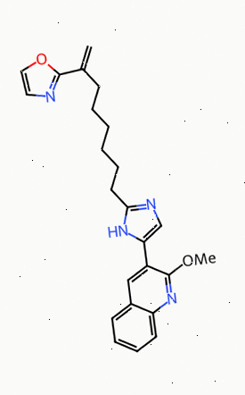 C=C(CCCCCCc1ncc(-c2cc3ccccc3nc2OC)[nH]1)c1ncco1